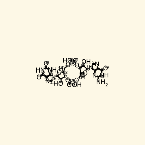 Nc1nc2c(ncn2[C@@H]2O[C@@H]3COP(=O)(O)OC4[C@@H](COP(=O)(O)OC3[C@@H]2O)O[C@@H](n2cnc3c(=O)[nH]c(=O)[nH]c32)[C@H]4O)c(=O)[nH]1